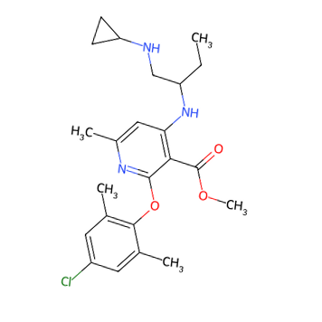 CCC(CNC1CC1)Nc1cc(C)nc(Oc2c(C)cc(Cl)cc2C)c1C(=O)OC